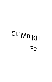 [Cu].[Fe].[KH].[Mn]